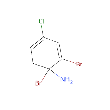 NC1(Br)CC=C(Cl)C=C1Br